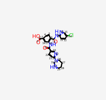 O=C(O)c1ccc(C(=O)Nc2ccc(Cl)cn2)c(NC(=O)c2ccc(N3CCCCNC3)nc2)c1